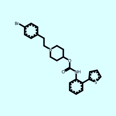 O=C(Nc1ccccc1-c1cccs1)OC1CCN(CCc2ccc(Br)cc2)CC1